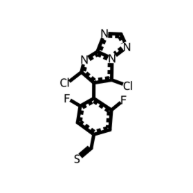 Fc1cc(C=S)cc(F)c1-c1c(Cl)nc2ncnn2c1Cl